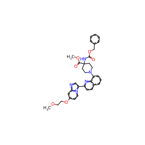 COCCOc1ccn2c(-c3ccc4cccc(N5CCC(NC(=O)OCc6ccccc6)(C(=O)OC)CC5)c4n3)cnc2c1